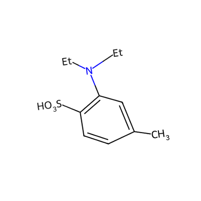 CCN(CC)c1cc(C)ccc1S(=O)(=O)O